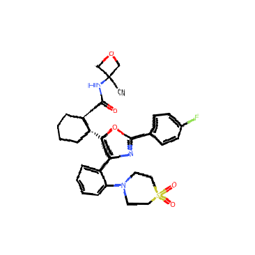 N#CC1(NC(=O)[C@@H]2CCCC[C@H]2c2oc(-c3ccc(F)cc3)nc2-c2ccccc2N2CCS(=O)(=O)CC2)COC1